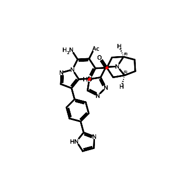 CC(=O)c1c(C2C[C@H]3CC[C@@H](C2)N3C(=O)c2nnc[nH]2)nc2c(-c3ccc(-c4ncc[nH]4)cc3)cnn2c1N